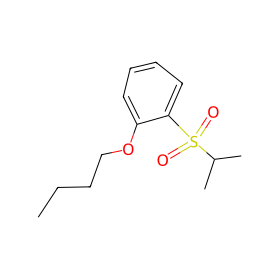 CCCCOc1ccccc1S(=O)(=O)C(C)C